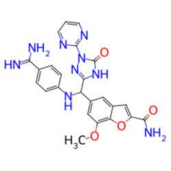 COc1cc(C(Nc2ccc(C(=N)N)cc2)c2nn(-c3ncccn3)c(=O)[nH]2)cc2cc(C(N)=O)oc12